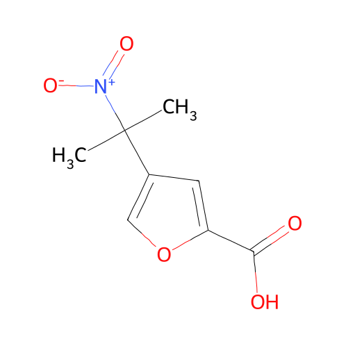 CC(C)(c1coc(C(=O)O)c1)[N+](=O)[O-]